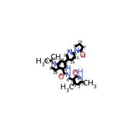 Cc1cc(C)c(CNC(=O)c2cc(-c3ccc(N4CCCC4=O)nc3)cc3c2ccn3C(C)C)c(=O)[nH]1